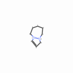 C1=CN2CCCCCN2C1